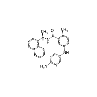 Cc1ccc(Nc2ccc(N)nc2)cc1C(=O)N[C@H](C)c1cccc2ccccc12